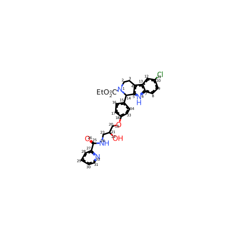 CCOC(=O)N1CCc2c([nH]c3ccc(Cl)cc23)C1c1ccc(OCC(O)CNC(=O)c2ccccn2)cc1